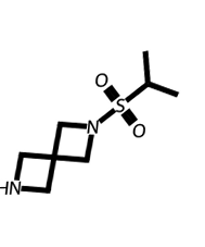 CC(C)S(=O)(=O)N1CC2(CNC2)C1